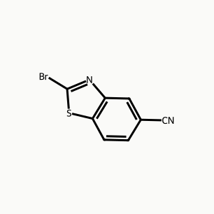 N#Cc1ccc2sc(Br)nc2c1